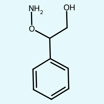 NOC(CO)c1ccccc1